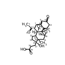 C=C[C@@]12[C@H](C(C)=O)CC3=CC(=O)CC[C@]3(C)C13O[C@@H]3C[C@@]1(C)[C@H]2CC[C@@]1(O)CCC(=O)O